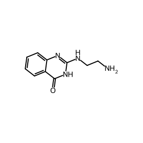 NCCNc1nc2ccccc2c(=O)[nH]1